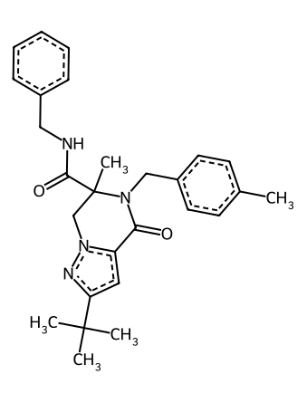 Cc1ccc(CN2C(=O)c3cc(C(C)(C)C)nn3CC2(C)C(=O)NCc2ccccc2)cc1